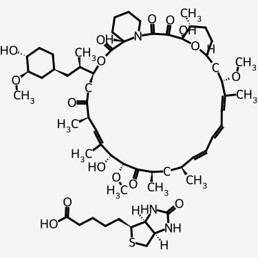 CO[C@H]1C[C@@H]2CC[C@@H](C)[C@@](O)(O2)C(=O)C(=O)N2CCCC[C@H]2C(=O)O[C@H]([C@H](C)C[C@@H]2CC[C@@H](O)[C@H](OC)C2)CC(=O)[C@H](C)/C=C(\C)[C@@H](O)[C@@H](OC)C(=O)[C@H](C)C[C@H](C)/C=C/C=C/C=C/1C.O=C(O)CCCC[C@@H]1SC[C@@H]2NC(=O)N[C@@H]21